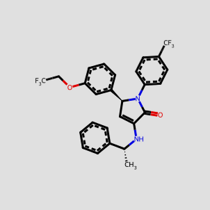 C[C@@H](NC1=C[C@@H](c2cccc(OCC(F)(F)F)c2)N(c2ccc(C(F)(F)F)cc2)C1=O)c1ccccc1